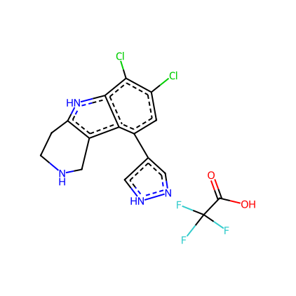 Clc1cc(-c2cn[nH]c2)c2c3c([nH]c2c1Cl)CCNC3.O=C(O)C(F)(F)F